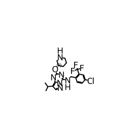 CC(C)c1cnn2c(NCc3ccc(Cl)cc3C(F)(F)F)nc(O[C@@H]3CCCNC3)nc12